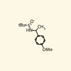 COc1ccc(C(C)N[S@+]([O-])C(C)(C)C)cc1